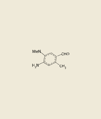 CNc1cc(C=O)c(C)cc1N